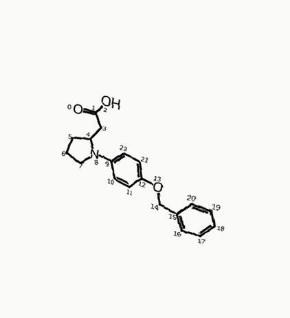 O=C(O)CC1CCCN1c1ccc(OCc2ccccc2)cc1